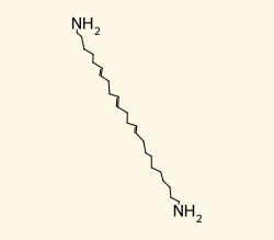 NCCCCCC=CCCC=CCCC=CCCCCCCCCCN